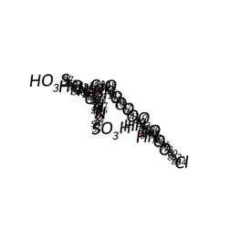 O=C(CCOCCOCCOCCOCCNC(=O)c1ccc(C(=O)O)c(-c2c3ccc(=[N+]4CCN(CCCCS(=O)(=O)O)CC4)cc-3oc3cc(N4CCN(CCCCS(=O)(=O)O)CC4)ccc23)c1)NCc1cccc(C(=O)NCCOCCOCCCCCCCl)c1